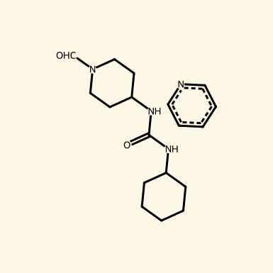 O=CN1CCC(NC(=O)NC2CCCCC2)CC1.c1ccncc1